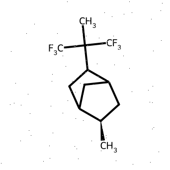 C[C@@H]1CC2CC1CC2C(C)(C(F)(F)F)C(F)(F)F